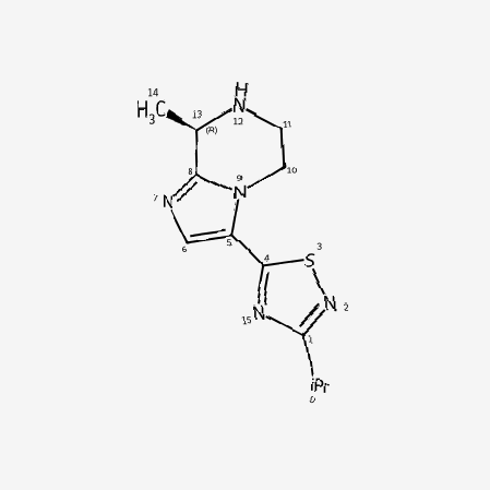 CC(C)c1nsc(-c2cnc3n2CCN[C@@H]3C)n1